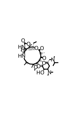 CC[C@@H]1OC(=O)[C@H](C)C(=O)[C@H](C)[C@@H](O[C@@H]2O[C@H](CN(C)C(C)C)CC(N(C)C)C2O)[C@](C)(OC)C[C@@H](C)CN[C@H](C)[C@H]2NC(=O)O[C@]12C